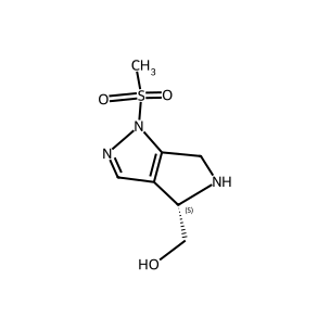 CS(=O)(=O)n1ncc2c1CN[C@@H]2CO